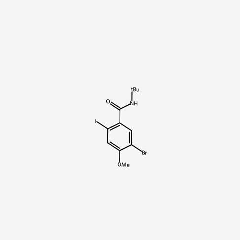 COc1cc(I)c(C(=O)NC(C)(C)C)cc1Br